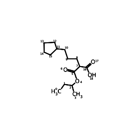 CCC(C)OC(=O)C(CCCC1CCCC1)C(=O)O